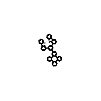 c1ccc2c(c1)-c1ccccc1-c1ccc(-c3cc(-c4cccc5c4sc4ccccc45)cc(-c4cccc5c4sc4ccccc45)c3)cc1-c1ccccc1-2